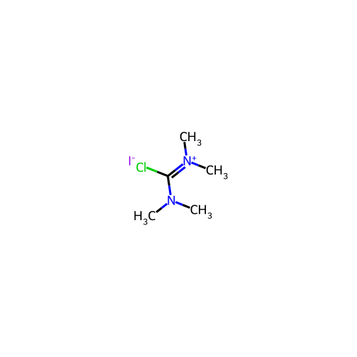 CN(C)C(Cl)=[N+](C)C.[I-]